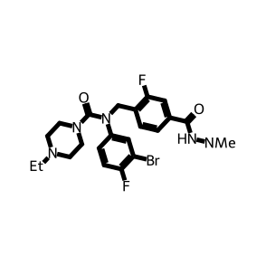 CCN1CCN(C(=O)N(Cc2ccc(C(=O)NNC)cc2F)c2ccc(F)c(Br)c2)CC1